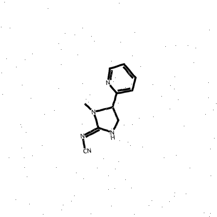 CN1C(=NC#N)NCC1c1ccccn1